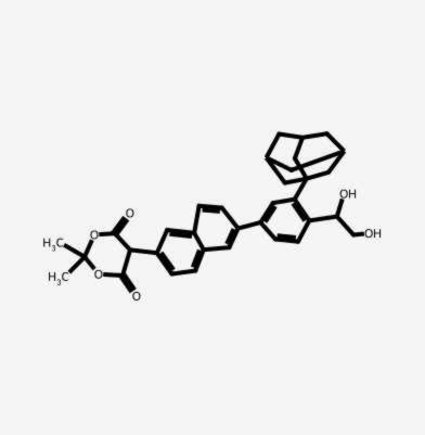 CC1(C)OC(=O)C(c2ccc3cc(-c4ccc(C(O)CO)c(C56CC7CC(CC(C7)C5)C6)c4)ccc3c2)C(=O)O1